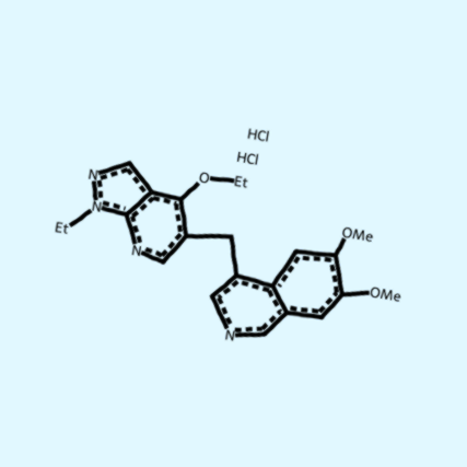 CCOc1c(Cc2cncc3cc(OC)c(OC)cc23)cnc2c1cnn2CC.Cl.Cl